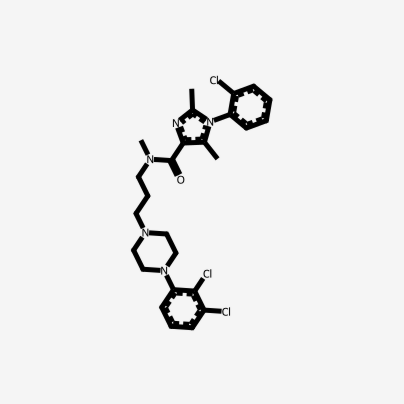 Cc1nc(C(=O)N(C)CCCN2CCN(c3cccc(Cl)c3Cl)CC2)c(C)n1-c1ccccc1Cl